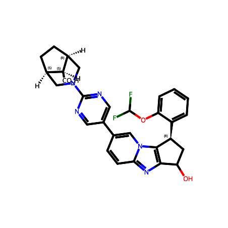 O=C(O)[C@H]1[C@@H]2CC[C@H]1CN(c1ncc(-c3ccc4nc5c(n4c3)[C@@H](c3ccccc3OC(F)F)CC5O)cn1)C2